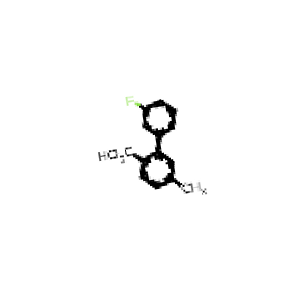 Cc1ccc(C(=O)O)c(-c2cccc(F)c2)c1